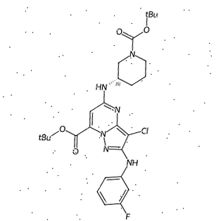 CC(C)(C)OC(=O)c1cc(N[C@H]2CCCN(C(=O)OC(C)(C)C)C2)nc2c(Cl)c(Nc3cccc(F)c3)nn12